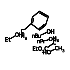 CCCCO.CCCO.CCO.CCOC(C)=O.CO.Cc1ccccc1